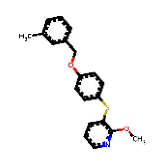 COc1ncccc1Sc1ccc(OCc2cccc(C)c2)cc1